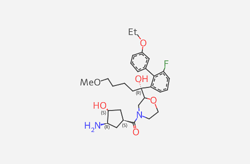 CCOc1cccc(-c2c(F)cccc2[C@](O)(CCCCOC)C2CN(C(=O)[C@H]3C[C@@H](N)[C@@H](O)C3)CCO2)c1